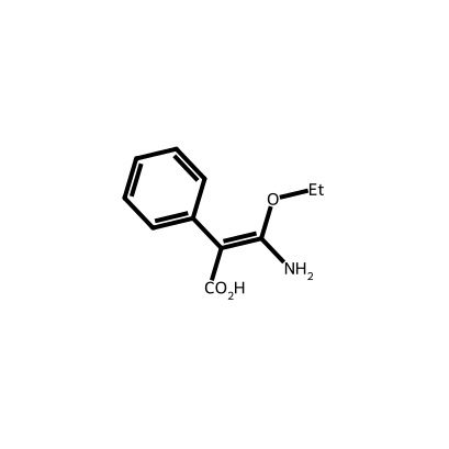 CCOC(N)=C(C(=O)O)c1ccccc1